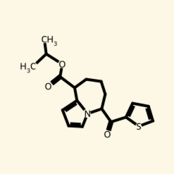 CC(C)OC(=O)C1CCCC(C(=O)c2cccs2)n2cccc21